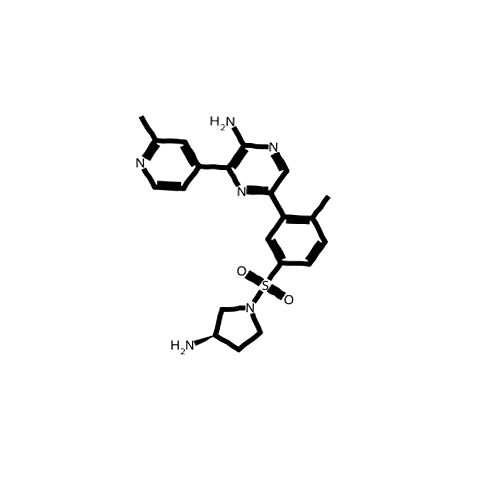 Cc1cc(-c2nc(-c3cc(S(=O)(=O)N4CC[C@@H](N)C4)ccc3C)cnc2N)ccn1